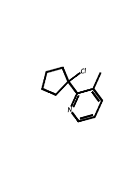 Cc1cccnc1C1(Cl)CCCC1